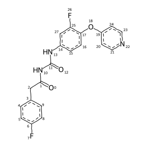 O=C(Cc1ccc(F)cc1)NC(=O)Nc1ccc(Oc2ccncc2)c(F)c1